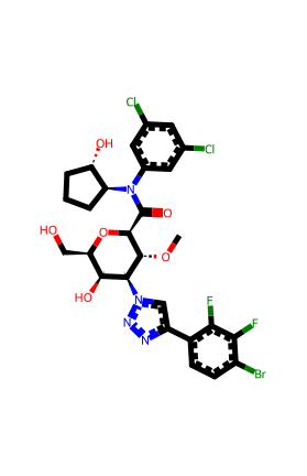 CO[C@@H]1[C@@H](n2cc(-c3ccc(Br)c(F)c3F)nn2)[C@@H](O)[C@@H](CO)O[C@H]1C(=O)N(c1cc(Cl)cc(Cl)c1)[C@H]1CCC[C@@H]1O